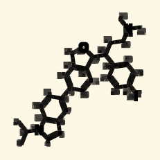 CC(C)n1ccc2cc(-c3ccc4c(c3)COC4C(CCN(C)C)c3ccc(F)cc3)ccc21